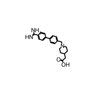 N=C(N)c1ccc(-c2ccc(CN3CCC(CC(=O)O)CC3)cc2)cc1